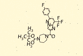 CC(C)(C)OC(=O)N1CCCN(C(=O)c2cn3nc(-c4ccc(F)cc4)cc(C(F)(F)F)c3n2)CC1